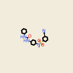 CN(c1ccc(NC(=O)Nc2ccccc2)cc1)S(=O)(=O)c1cccc(C#N)c1